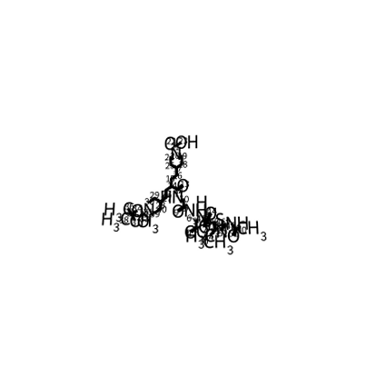 CCOC(=O)[C@H](CNC(=O)CNC(=O)C(CCC1CCN(C(=O)O)CC1)CCC1CCN(C(=O)OC(C)(C)C)CC1)NS(=O)(=O)c1sc(NC(C)=O)nc1C